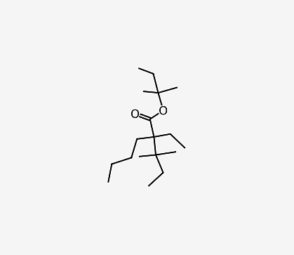 CCCCC(CC)(C(=O)OC(C)(C)CC)C(C)(C)CC